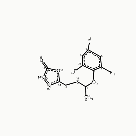 CC(Oc1c(F)cc(F)cc1F)SCc1n[nH]c(=O)o1